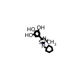 Cn1nc(-c2cc(O)c(O)c(O)c2)s/c1=N/C1CCCCC1